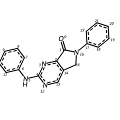 O=C1c2nc(Nc3ccccc3)ncc2CN1c1ccccc1